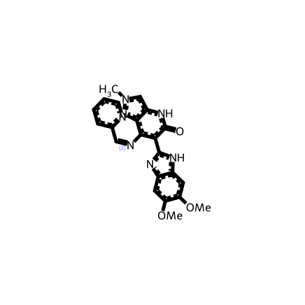 COc1cc2nc(-c3c(/N=C\c4ccccn4)c4nn(C)cc4[nH]c3=O)[nH]c2cc1OC